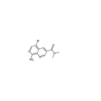 CN(C)C(=O)c1cnc2c(N)ncc(Br)c2c1